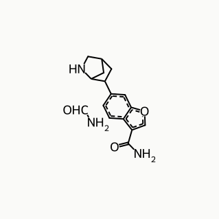 NC(=O)c1coc2cc(C3CC4CNC3C4)ccc12.NC=O